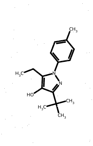 CCc1c(O)c(C(C)(C)C)nn1-c1ccc(C)cc1